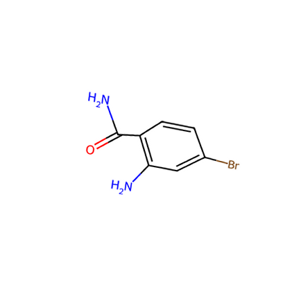 NC(=O)c1ccc(Br)cc1N